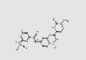 CCN1CCC(N2Cc3cc(NC(=O)c4cncc(C(F)(F)F)c4)ccc3[C@@H](C)C2)CC1=O